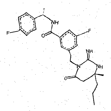 CCC[C@]1(C)CC(=O)N(Cc2cc(F)cc(C(=O)N[C@@H](C)c3ccc(F)cc3)c2)C(=N)N1